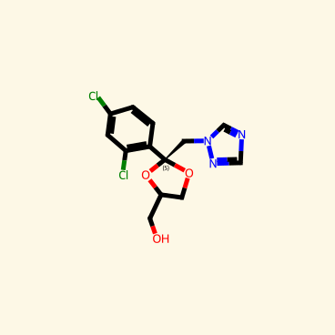 OCC1CO[C@@](Cn2cncn2)(c2ccc(Cl)cc2Cl)O1